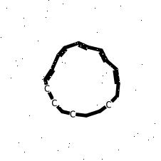 [C]1=C/C=C\C=C\C=C\C=C/CCCCCCCC/1